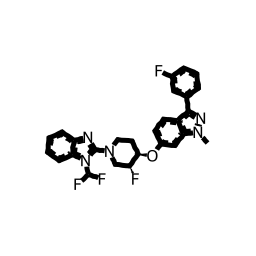 Cn1nc(-c2cccc(F)c2)c2ccc(O[C@@H]3CCN(c4nc5ccccc5n4C(F)F)C[C@H]3F)cc21